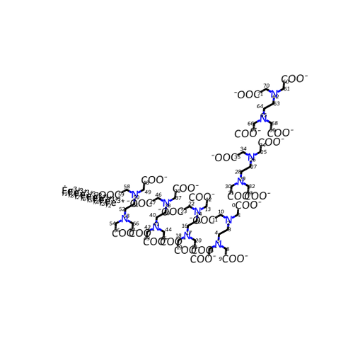 O=C([O-])CN(CCN(CC(=O)[O-])CC(=O)[O-])CC(=O)[O-].O=C([O-])CN(CCN(CC(=O)[O-])CC(=O)[O-])CC(=O)[O-].O=C([O-])CN(CCN(CC(=O)[O-])CC(=O)[O-])CC(=O)[O-].O=C([O-])CN(CCN(CC(=O)[O-])CC(=O)[O-])CC(=O)[O-].O=C([O-])CN(CCN(CC(=O)[O-])CC(=O)[O-])CC(=O)[O-].O=C([O-])CN(CCN(CC(=O)[O-])CC(=O)[O-])CC(=O)[O-].[Fe+3].[Fe+3].[Fe+3].[Fe+3].[Fe+3].[Fe+3].[Fe+3].[Fe+3]